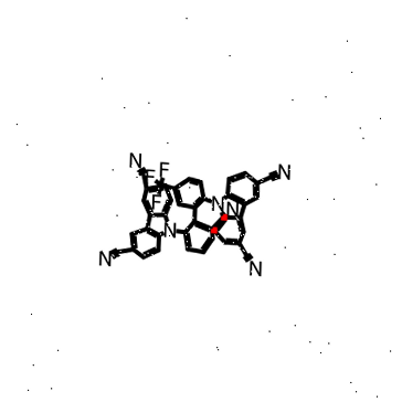 N#Cc1ccc2c(c1)c1cc(C#N)ccc1n2-c1ccc(C(F)(F)F)cc1-c1c(C#N)cccc1-n1c2ccc(C#N)cc2c2cc(C#N)ccc21